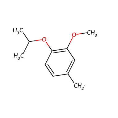 [CH2]c1ccc(OC(C)C)c(OC)c1